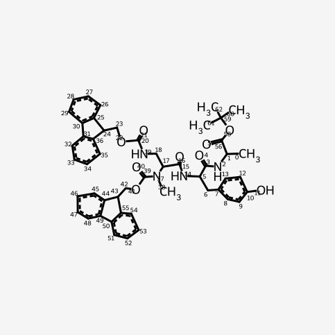 CC(NC(=O)C(Cc1ccc(O)cc1)NC(=O)C(CNC(=O)OCC1c2ccccc2-c2ccccc21)N(C)C(=O)OCC1c2ccccc2-c2ccccc21)C(=O)OC(C)(C)C